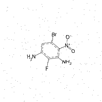 Nc1cc(Br)c([N+](=O)[O-])c(N)c1F